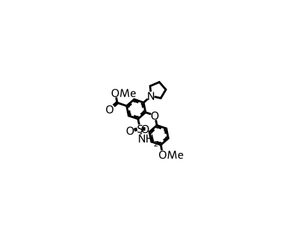 COC(=O)c1cc(N2CCCC2)c(Oc2ccc(OC)cc2)c(S(N)(=O)=O)c1